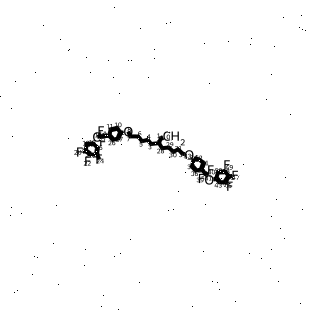 C=CC(CCCCCOc1ccc(C(F)(F)Oc2cc(F)c(F)c(F)c2)cc1)CCCCCOc1ccc(C(F)(F)Oc2cc(F)c(F)c(F)c2)cc1